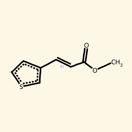 COC(=O)/C=C/c1c[c]sc1